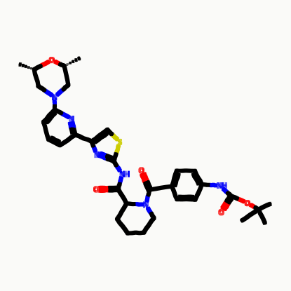 C[C@@H]1CN(c2cccc(-c3csc(NC(=O)C4CCCCN4C(=O)c4ccc(NC(=O)OC(C)(C)C)cc4)n3)n2)C[C@H](C)O1